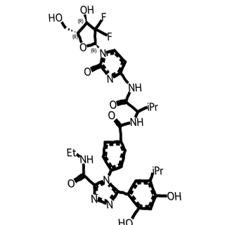 CCNC(=O)c1nnc(-c2cc(C(C)C)c(O)cc2O)n1-c1ccc(C(=O)NC(C(=O)Nc2ccn([C@@H]3O[C@H](CO)[C@@H](O)C3(F)F)c(=O)n2)C(C)C)cc1